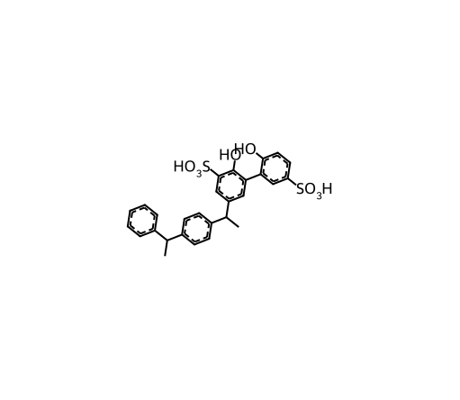 CC(c1ccccc1)c1ccc(C(C)c2cc(-c3cc(S(=O)(=O)O)ccc3O)c(O)c(S(=O)(=O)O)c2)cc1